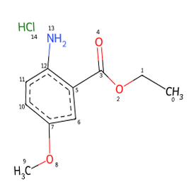 CCOC(=O)c1cc(OC)ccc1N.Cl